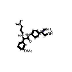 COc1cccc(C(NCCCN(C)C)C(=O)Nc2ccc(/C(C=N)=C/N)cc2)c1